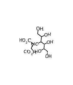 O=C(O)CCC(=O)O.OCC(O)C(O)C(O)C(O)CO